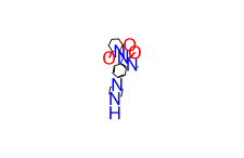 Cn1c(=O)n(N2C(=O)CCCC2=O)c2ccc(N3CCNCC3)cc21